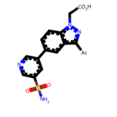 CC(=O)c1nn(CC(=O)O)c2ccc(-c3cncc(S(N)(=O)=O)c3)cc12